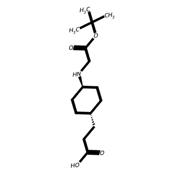 CC(C)(C)OC(=O)CN[C@H]1CC[C@H](CCC(=O)O)CC1